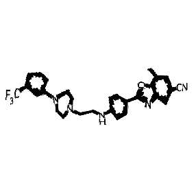 Cc1cc(C#N)cc2nc(-c3ccc(NCCN4CCN(c5cccc(C(F)(F)F)c5)CC4)cc3)oc12